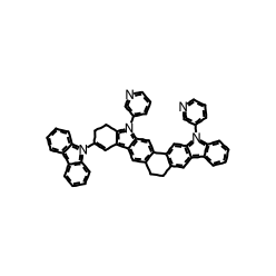 C1=C(n2c3ccccc3c3ccccc32)CCc2c1c1cc3c(cc1n2-c1cccnc1)-c1cc2c(cc1CC3)c1ccccc1n2-c1cccnc1